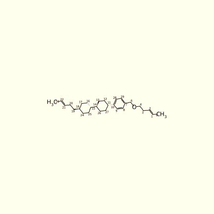 CC=CCCOCc1ccc([C@H]2CC[C@H]([C@H]3CC[C@H](CCC=CC)CC3)CC2)cc1